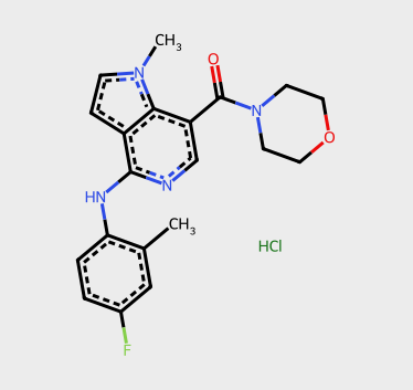 Cc1cc(F)ccc1Nc1ncc(C(=O)N2CCOCC2)c2c1ccn2C.Cl